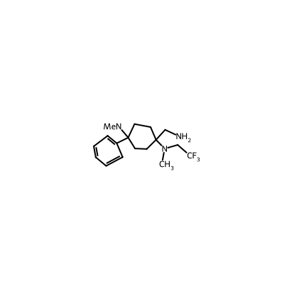 CNC1(c2ccccc2)CCC(CN)(N(C)CC(F)(F)F)CC1